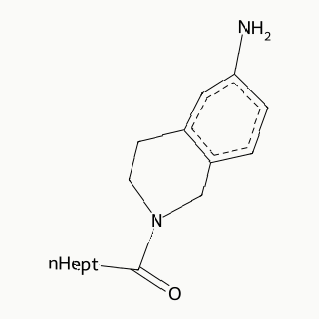 CCCCCCCC(=O)N1CCc2cc(N)ccc2C1